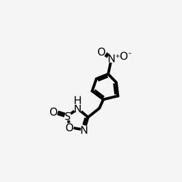 O=[N+]([O-])c1ccc(CC2=NOS(=O)N2)cc1